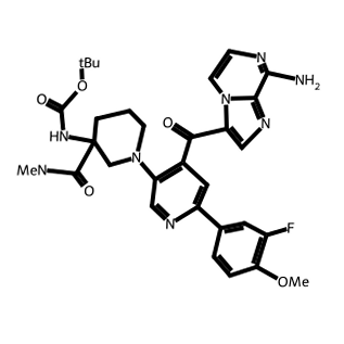 CNC(=O)C1(NC(=O)OC(C)(C)C)CCCN(c2cnc(-c3ccc(OC)c(F)c3)cc2C(=O)c2cnc3c(N)nccn23)C1